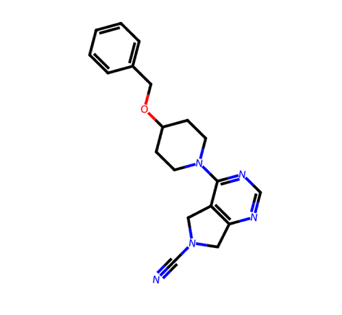 N#CN1Cc2ncnc(N3CCC(OCc4ccccc4)CC3)c2C1